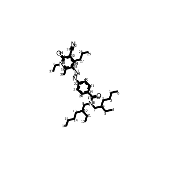 CCCCC(CC)CN(CC(CC)CCCC)C(=O)c1ccc(/N=N/c2c(CCC)c(C#N)c(=O)n(CC)c2C)cc1